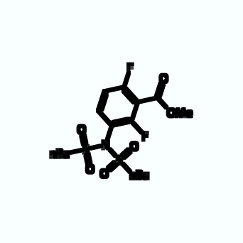 CCCCS(=O)(=O)N(c1ccc(F)c(C(=O)OC)c1F)S(=O)(=O)CCCC